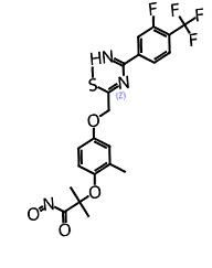 CS/C(COc1ccc(OC(C)(C)C(=O)N=O)c(C)c1)=N\C(=N)c1ccc(C(F)(F)F)c(F)c1